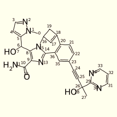 Cn1nccc1C(O)c1c(C(N)=O)nc2n1C1C=C(C1)c1ccc(C#CC(C)(O)c3ncccn3)cc1-2